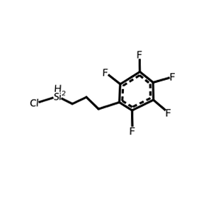 Fc1c(F)c(F)c(CCC[SiH2]Cl)c(F)c1F